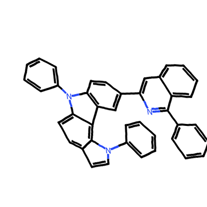 c1ccc(-c2nc(-c3ccc4c(c3)c3c5c(ccc3n4-c3ccccc3)ccn5-c3ccccc3)cc3ccccc23)cc1